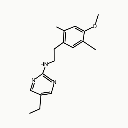 CCc1cnc(NCCc2cc(C)c(OC)cc2C)nc1